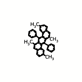 Cc1ccc2cc(C)c3c(-c4ccccc4)c4c(c(C)cc5ccc(C)cc54)c(-c4ccccc4)c3c2c1